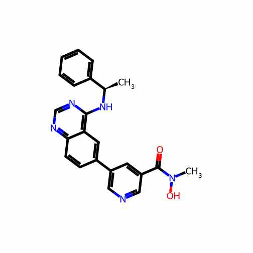 C[C@@H](Nc1ncnc2ccc(-c3cncc(C(=O)N(C)O)c3)cc12)c1ccccc1